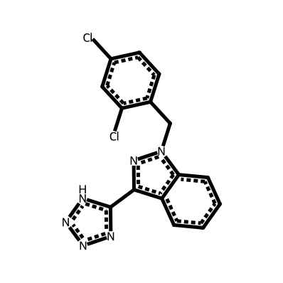 Clc1ccc(Cn2nc(-c3nnn[nH]3)c3ccccc32)c(Cl)c1